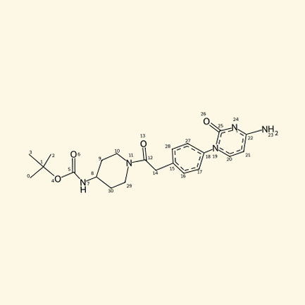 CC(C)(C)OC(=O)NC1CCN(C(=O)Cc2ccc(-n3ccc(N)nc3=O)cc2)CC1